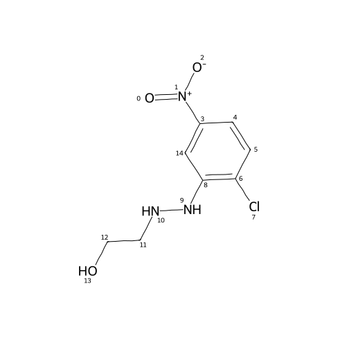 O=[N+]([O-])c1ccc(Cl)c(NNCCO)c1